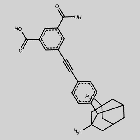 CC12CC3CC(C1)C(c1ccc(C#Cc4cc(C(=O)O)cc(C(=O)O)c4)cc1)C(C)(C3)C2